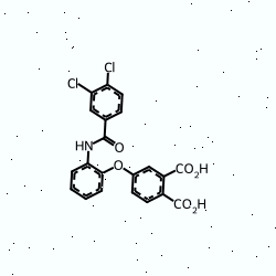 O=C(Nc1ccccc1Oc1ccc(C(=O)O)c(C(=O)O)c1)c1ccc(Cl)c(Cl)c1